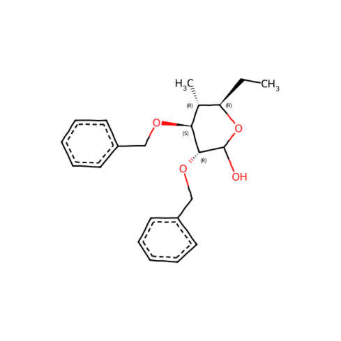 CC[C@H]1OC(O)[C@H](OCc2ccccc2)[C@@H](OCc2ccccc2)[C@@H]1C